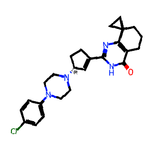 O=c1[nH]c(C2=C[C@H](N3CCN(c4ccc(Cl)cc4)CC3)CC2)nc2c1CCCC21CC1